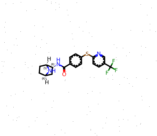 O=C(N[C@@H]1C[C@H]2CC[C@@H]1N2)c1ccc(Sc2ccc(C(F)(F)F)cn2)cc1